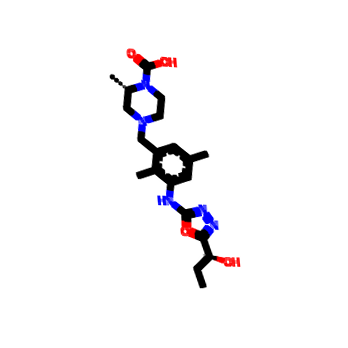 CC[C@H](O)c1nnc(Nc2cc(C)cc(CN3CCN(C(=O)O)[C@@H](C)C3)c2C)o1